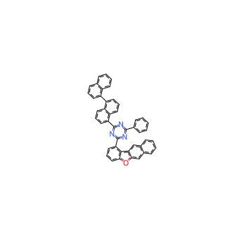 c1ccc(-c2nc(-c3cccc4c(-c5cccc6ccccc56)cccc34)nc(-c3cccc4oc5cc6ccccc6cc5c34)n2)cc1